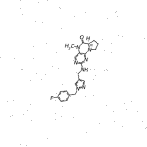 CN1C(=O)[C@H]2CCCN2c2nc(NCc3cnn(Cc4ccc(F)cc4)c3)ncc21